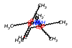 [CH2]c1ccc(-c2nc(Nc3cc(OCCCCCCCCCCCCCC)c(OCCCCCCCCCCCCCC)c(OCCCCCCCCCCCCCC)c3)nc(Nc3cc(OCCCCCCCCCCCCCC)c(OCCCCCCCCCCCCCC)c(OCCCCCCCCCCCCCC)c3)n2)cc1